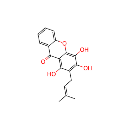 CC(C)=CCc1c(O)c(O)c2oc3ccccc3c(=O)c2c1O